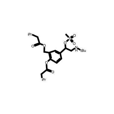 CC(C)CC(=O)OCc1cc(C(CNC(C)(C)C)OS(C)(=O)=O)ccc1OC(=O)CC(C)C